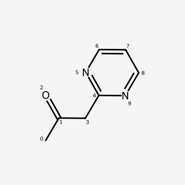 CC(=O)Cc1ncccn1